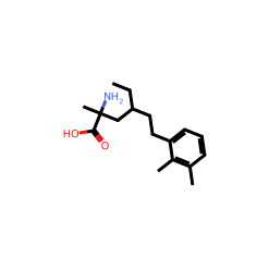 CCC(CCc1cccc(C)c1C)CC(C)(N)C(=O)O